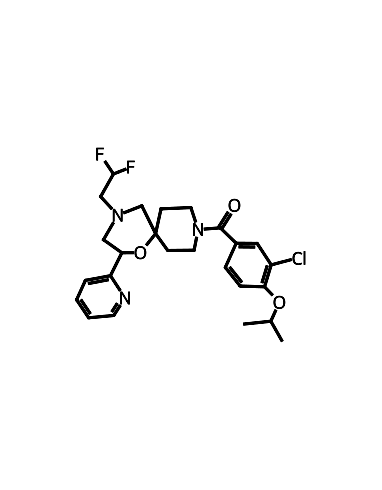 CC(C)Oc1ccc(C(=O)N2CCC3(CC2)CN(CC(F)F)CC(c2ccccn2)O3)cc1Cl